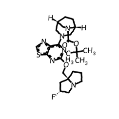 CC(C)(C)OC(=O)N1C[C@H]2CC[C@@H]1CN(c1nc(OC[C@@]34CCCN3C[C@H](F)C4)nc3scnc13)C2